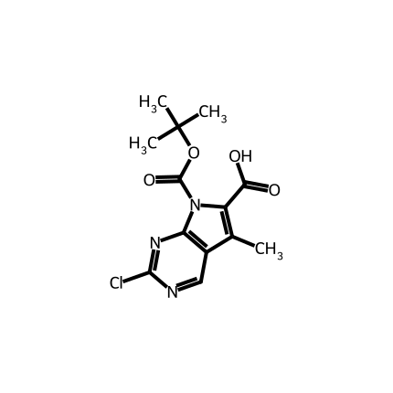 Cc1c(C(=O)O)n(C(=O)OC(C)(C)C)c2nc(Cl)ncc12